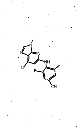 Cc1cc(C#N)cc(F)c1Nc1cc(Cl)c2ncn(C)c2n1